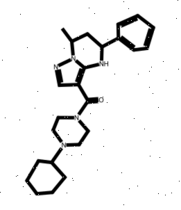 CC1CC(c2ccccc2)Nc2c(C(=O)N3CCN(C4CCCCC4)CC3)cnn21